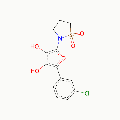 O=S1(=O)CCCN1c1oc(-c2cccc(Cl)c2)c(O)c1O